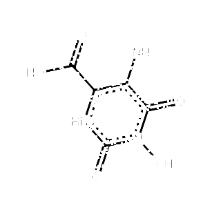 Cn1c(=O)[nH]c(C(=O)O)c(N)c1=O